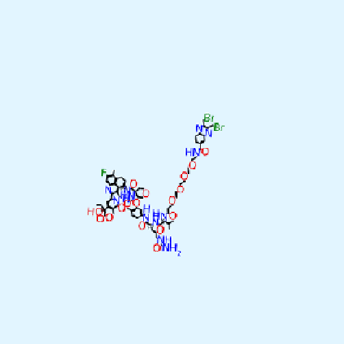 CC[C@]1(O)C(=O)OCc2c1cc1n(c2=O)Cc2c-1nc1cc(F)c(C)c3c1c2[C@H](NC(=O)C1(NC(=O)OCc2ccc(NC(=O)[C@H](CCCNC(N)=O)NC(=O)[C@@H](NC(=O)CCOCCOCCOCCOCCNC(=O)c4ccc5nc(CBr)c(CBr)nc5c4)C(C)C)cc2)CCOCC1)CC3